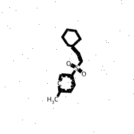 Cc1ccc(S(=O)(=O)C=C=C2CCCCC2)cc1